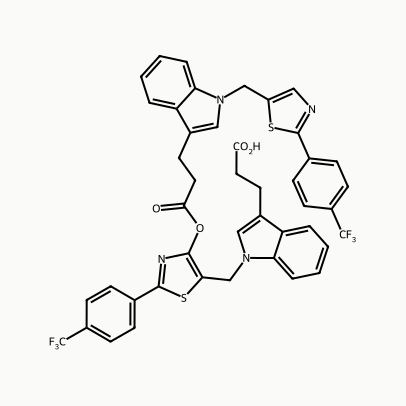 O=C(O)CCc1cn(Cc2sc(-c3ccc(C(F)(F)F)cc3)nc2OC(=O)CCc2cn(Cc3cnc(-c4ccc(C(F)(F)F)cc4)s3)c3ccccc23)c2ccccc12